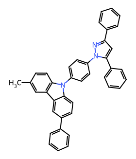 Cc1ccc2c(c1)c1cc(-c3ccccc3)ccc1n2-c1ccc(-n2nc(-c3ccccc3)cc2-c2ccccc2)cc1